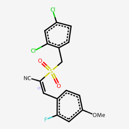 COc1ccc(/C=C(/C#N)S(=O)(=O)Cc2ccc(Cl)cc2Cl)c(F)c1